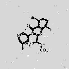 CC(NC(=O)O)c1nc2c(F)ccc(Br)c2c(=O)n1-c1cncc(F)c1